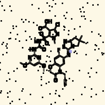 C#CCN1C(=O)COc2cc(F)c(/N=c3\snc4n3CC(C)(C)C4)cc21.COc1cc(OC)nc(NC(=O)NS(=O)(=O)c2c(C(=O)O)c(Cl)nn2C)n1